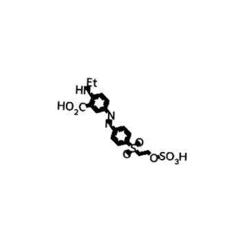 CCNc1ccc(N=Nc2ccc(S(=O)(=O)CCOS(=O)(=O)O)cc2)cc1C(=O)O